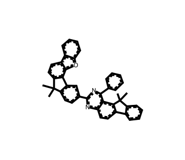 CC1(C)c2ccc(-c3nc(-c4ccccc4)c4c5c(ccc4n3)-c3ccccc3C5(C)C)cc2-c2c1ccc1c2oc2ccccc21